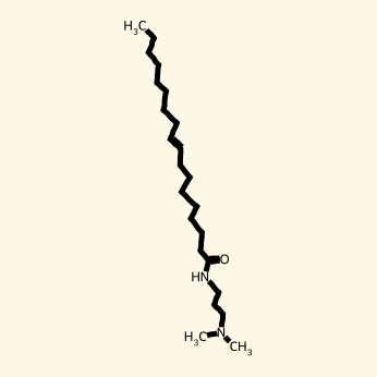 CCCCCCCCC=CCCCCCCCC(=O)NCCCN(C)C